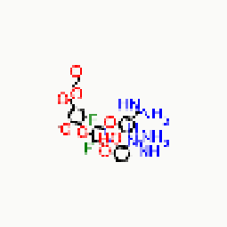 COCCOC(=O)c1ccc(Oc2c(F)c(Oc3cccc(NC(=N)N)c3)nc(Oc3cc(C(=N)N)ccc3O)c2F)c(OC)c1